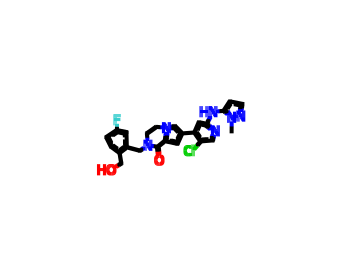 Cn1nccc1Nc1cc(-c2cc3n(c2)CCN(Cc2cc(F)ccc2CO)C3=O)c(Cl)cn1